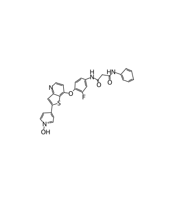 O=C(CC(=O)Nc1ccc(Oc2ccnc3cc(-c4cc[n+](O)cc4)sc23)c(F)c1)Nc1ccccc1